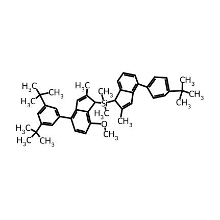 COc1ccc(-c2cc(C(C)(C)C)cc(C(C)(C)C)c2)c2c1C([Si](C)(C)C1C(C)=Cc3c(-c4ccc(C(C)(C)C)cc4)cccc31)C(C)=C2